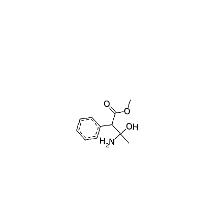 COC(=O)C(c1ccccc1)C(C)(N)O